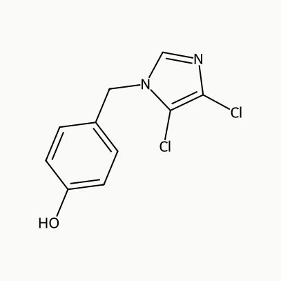 Oc1ccc(Cn2cnc(Cl)c2Cl)cc1